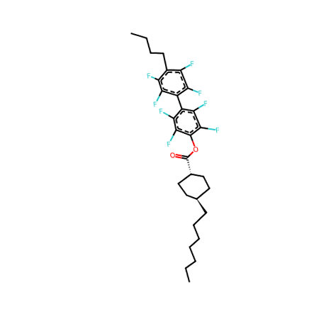 CCCCCCC[C@H]1CC[C@H](C(=O)Oc2c(F)c(F)c(-c3c(F)c(F)c(CCCC)c(F)c3F)c(F)c2F)CC1